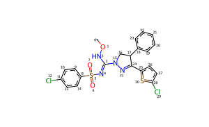 CON/C(=N\S(=O)(=O)c1ccc(Cl)cc1)N1CC(c2ccccc2)C(c2ccc(Cl)s2)=N1